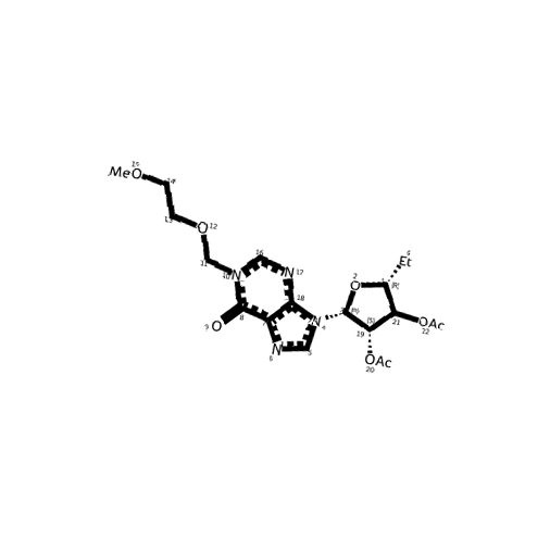 CC[C@H]1O[C@@H](n2cnc3c(=O)n(COCCOC)cnc32)[C@@H](OC(C)=O)C1OC(C)=O